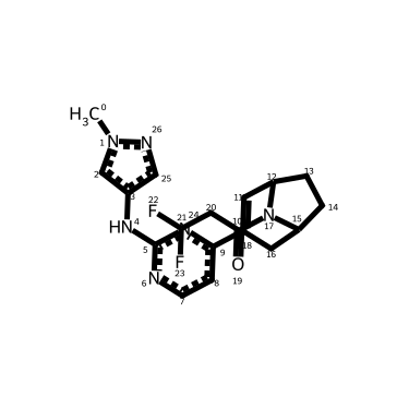 Cn1cc(Nc2nccc(C3=CC4CCC(C3)N4C(=O)CC(F)F)n2)cn1